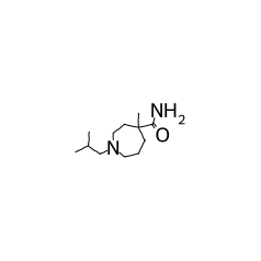 CC(C)CN1CCCC(C)(C(N)=O)CC1